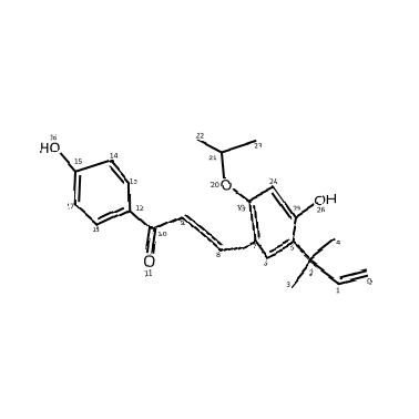 C=CC(C)(C)c1cc(C=CC(=O)c2ccc(O)cc2)c(OC(C)C)cc1O